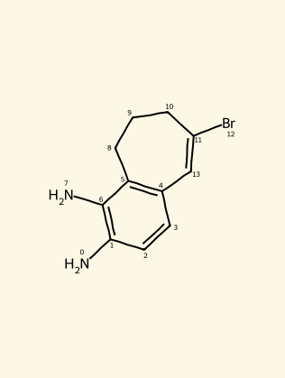 Nc1ccc2c(c1N)CCCC(Br)=C2